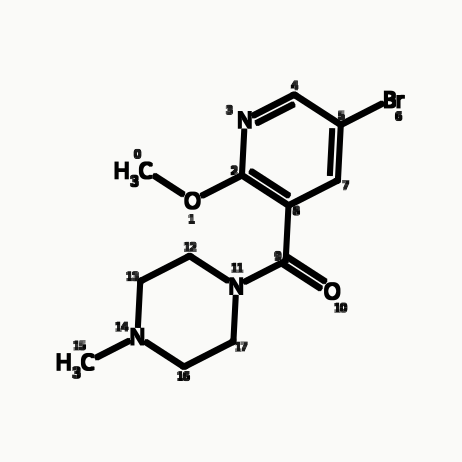 COc1ncc(Br)cc1C(=O)N1CCN(C)CC1